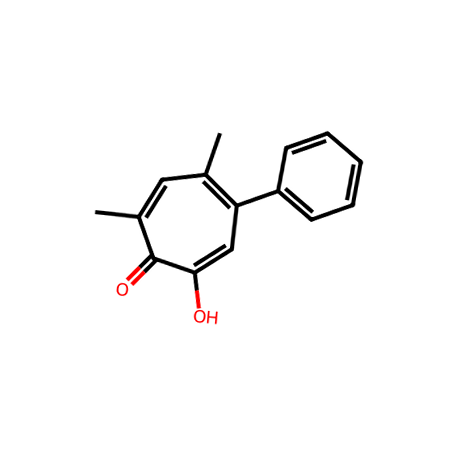 Cc1cc(C)c(=O)c(O)cc1-c1ccccc1